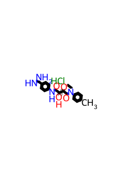 Cc1ccc(N2CCO[C@H]([C@@H](O)C(=O)Nc3ccc(C(=N)N)cc3)C2=O)cc1.Cl